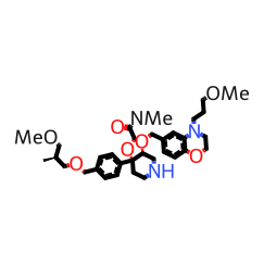 CNC(=O)CO[C@]1(c2ccc(COC[C@@H](C)COC)cc2)CCNC[C@@H]1OCc1ccc2c(c1)N(CCCOC)CCO2